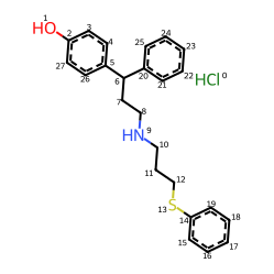 Cl.Oc1ccc(C(CCNCCCSc2ccccc2)c2ccccc2)cc1